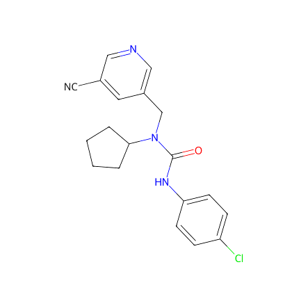 N#Cc1cncc(CN(C(=O)Nc2ccc(Cl)cc2)C2CCCC2)c1